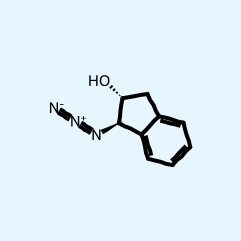 [N-]=[N+]=N[C@@H]1c2ccccc2C[C@H]1O